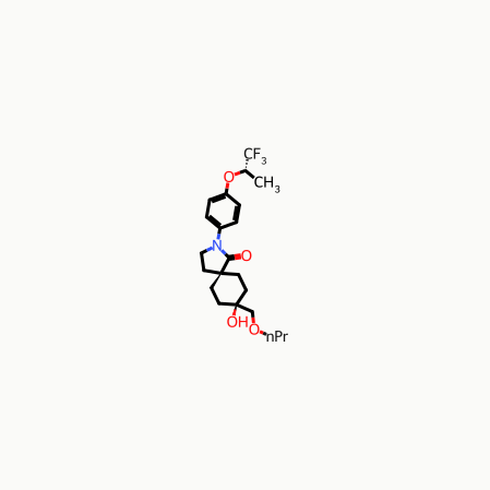 CCCOC[C@]1(O)CC[C@]2(CCN(c3ccc(O[C@@H](C)C(F)(F)F)cc3)C2=O)CC1